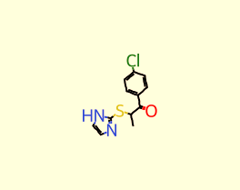 CC(Sc1ncc[nH]1)C(=O)c1ccc(Cl)cc1